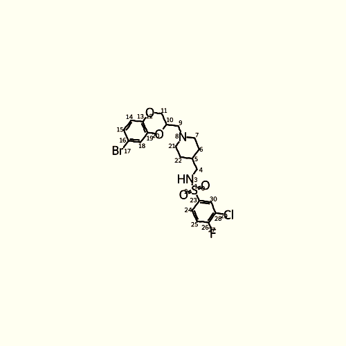 O=S(=O)(NCC1CCN(CC2COc3ccc(Br)cc3O2)CC1)c1ccc(F)c(Cl)c1